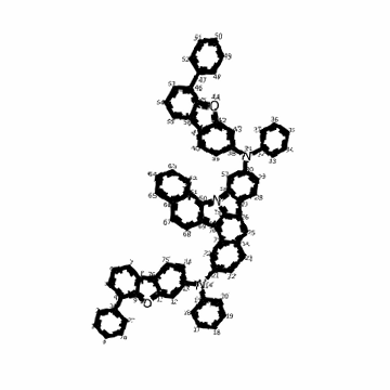 c1ccc(-c2cccc3c2oc2cc(N(c4ccccc4)c4ccc5cc6c7ccc(N(c8ccccc8)c8ccc9c(c8)oc8c(-c%10ccccc%10)cccc89)cc7n7c8c9ccccc9ccc8c(c5c4)c67)ccc23)cc1